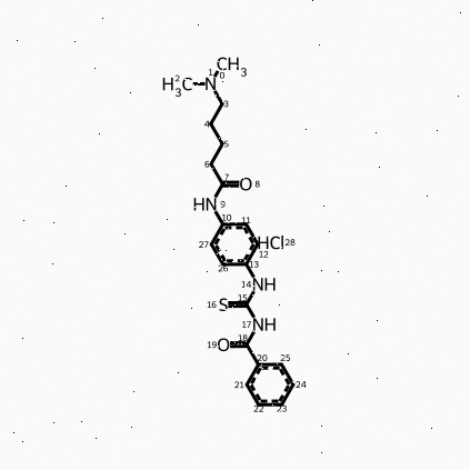 CN(C)CCCCC(=O)Nc1ccc(NC(=S)NC(=O)c2ccccc2)cc1.Cl